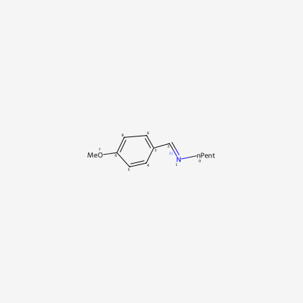 CCCCC/N=C/c1ccc(OC)cc1